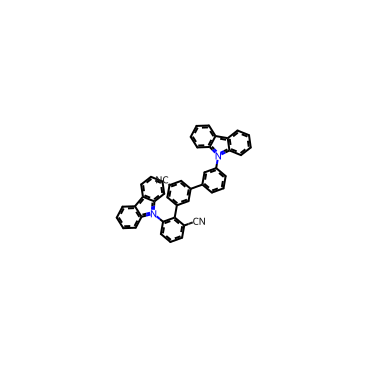 N#Cc1cc(-c2cccc(-n3c4ccccc4c4ccccc43)c2)cc(-c2c(C#N)cccc2-n2c3ccccc3c3ccccc32)c1